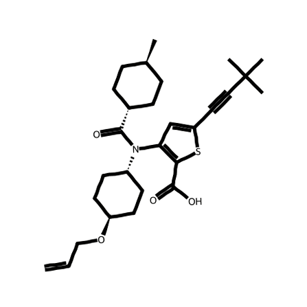 C=CCO[C@H]1CC[C@H](N(c2cc(C#CC(C)(C)C)sc2C(=O)O)C(=O)[C@H]2CC[C@H](C)CC2)CC1